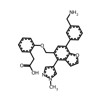 Cn1cc(-c2c(COc3ccccc3CC(=O)O)cc(-c3cccc(CN)c3)c3occc23)cn1